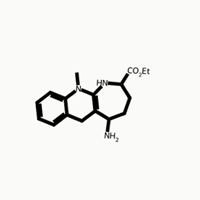 CCOC(=O)C1CCC(N)C2=C(N1)N(C)c1ccccc1C2